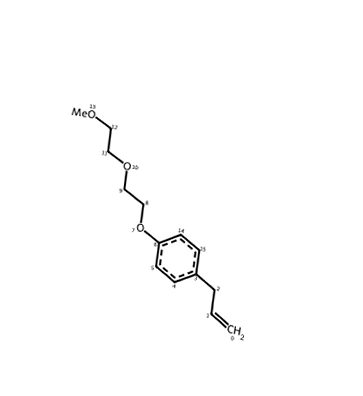 C=CCc1ccc(OCCOCCOC)cc1